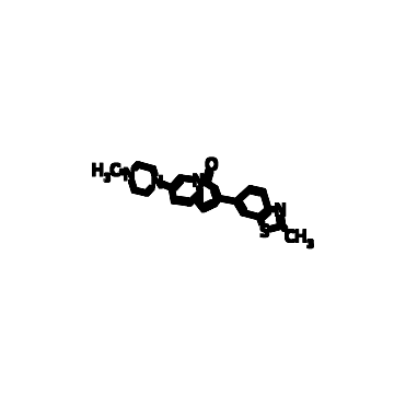 Cc1nc2ccc(C3=C\C(=O)N4C=C(N5CCN(C)CC5)C=C\C4=C/C=C/3)cc2s1